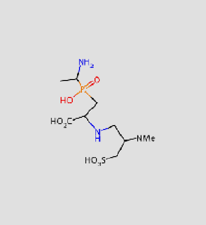 CNC(CNC(CP(=O)(O)C(C)N)C(=O)O)CS(=O)(=O)O